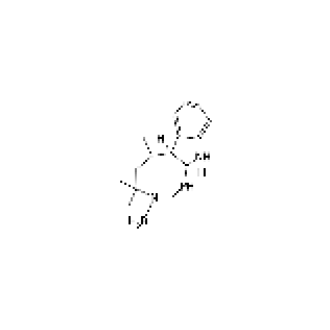 BN1CP[C@@H]2Nc3ccccc3[C@@H]2C(C)CC1(C)C